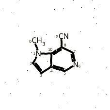 Cn1ccc2cncc(C#N)c21